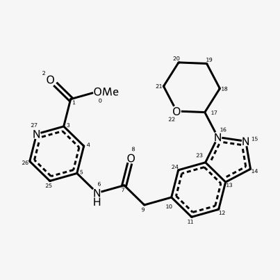 COC(=O)c1cc(NC(=O)Cc2ccc3cnn(C4CCCCO4)c3c2)ccn1